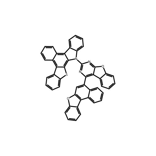 c1ccc2c(c1)oc1nc(-n3c4ccccc4c4c5ccccc5c5c6ccccc6sc5c43)nc(-c3cc4oc5ccccc5c4c4ccccc34)c12